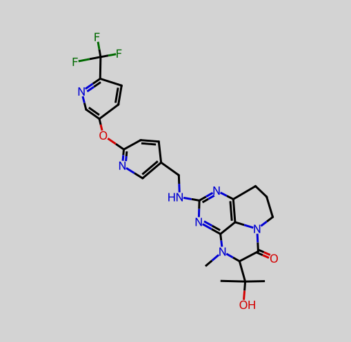 CN1c2nc(NCc3ccc(Oc4ccc(C(F)(F)F)nc4)nc3)nc3c2N(CCC3)C(=O)C1C(C)(C)O